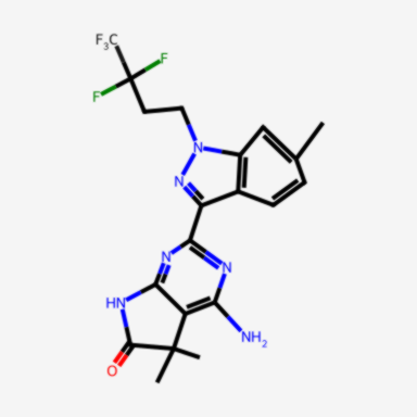 Cc1ccc2c(-c3nc(N)c4c(n3)NC(=O)C4(C)C)nn(CCC(F)(F)C(F)(F)F)c2c1